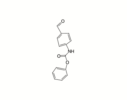 O=Cc1ccc(NC(=O)Oc2ccccc2)cc1